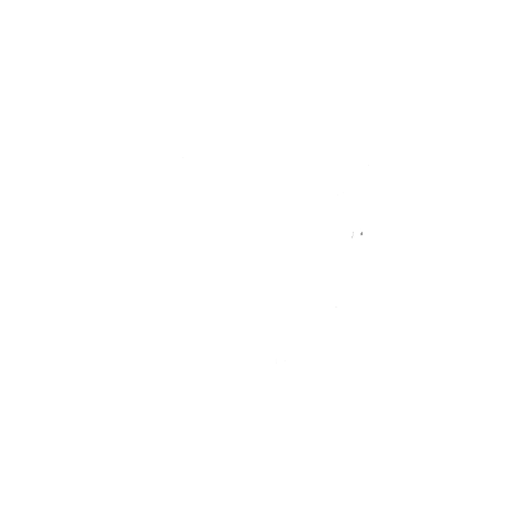 O=C(OC(CC(OP(=O)(c1ccccc1)c1ccccc1)C(F)(F)F)c1ccc2ccccc2c1)c1ccccc1